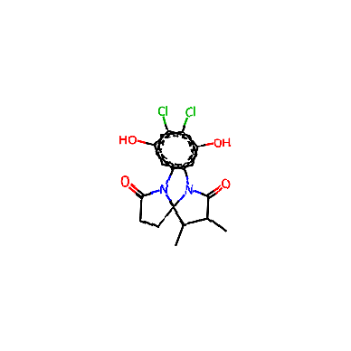 CC1C(=O)N(c2ccc(Cl)c(O)c2)C2(CCC(=O)N2c2ccc(Cl)c(O)c2)C1C